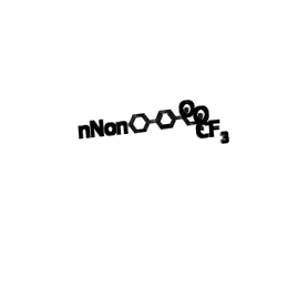 CCCCCCCCCC1CCC(c2ccc(C(=O)CC(=O)C(F)(F)F)cc2)CC1